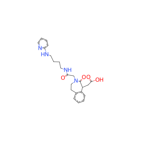 O=C(O)CC1C(=O)N(CC(=O)NCCCCNc2ccccn2)CCc2ccccc21